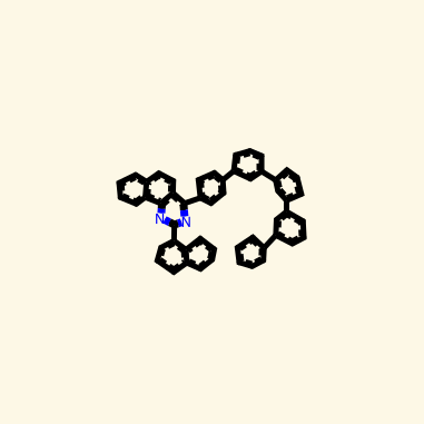 c1ccc(-c2cccc(-c3cccc(-c4cccc(-c5ccc(-c6nc(-c7cccc8ccccc78)nc7c6ccc6ccccc67)cc5)c4)c3)c2)cc1